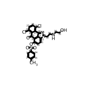 Cc1ccc(S(=O)(=O)Oc2ccc3c4c(nn3CCNCCO)-c3c(Cl)ccc(Cl)c3C(=O)c24)cc1